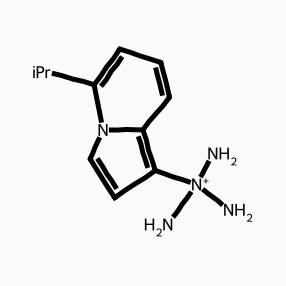 CC(C)c1cccc2c([N+](N)(N)N)ccn12